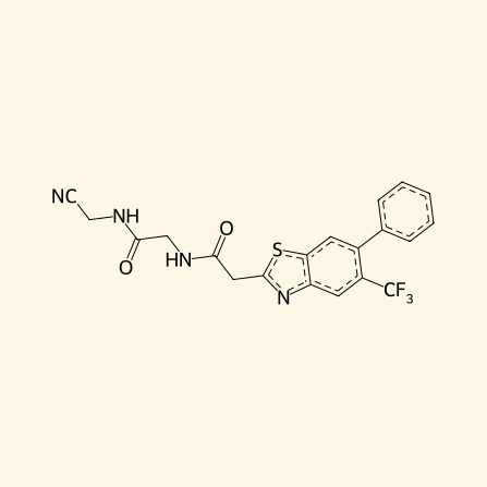 N#CCNC(=O)CNC(=O)Cc1nc2cc(C(F)(F)F)c(-c3ccccc3)cc2s1